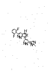 Cc1ncn(-c2cc([C@@]34CC[C@@H](c5cc(-c6c(F)cccc6F)nnc53)C4(C)C)cnn2)n1